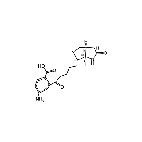 Nc1ccc(C(=O)O)c(C(=O)CCCC[C@@H]2SC[C@@H]3NC(=O)N[C@@H]32)c1